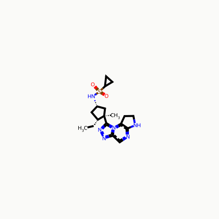 CC[C@@H]1C[C@H](NS(=O)(=O)C2CC2)C[C@@]1(C)c1nnc2cnc3c(n12)CCN3